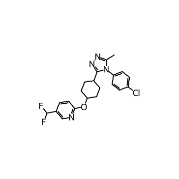 Cc1nnc(C2CCC(Oc3ccc(C(F)F)cn3)CC2)n1-c1ccc(Cl)cc1